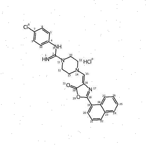 Cl.N=C(Nc1ccc(Cl)cc1)N1CCN(/C=C2/N=C(c3cccc4ccccc34)OC2=O)CC1